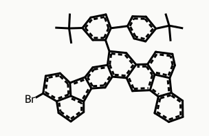 CC(C)(C)c1ccc(-c2ccc(C(C)(C)C)cc2-c2cc3c(cc4c5ccccc5c5cccc3c54)c3cc4c(cc23)c2ccc(Br)c3cccc4c32)cc1